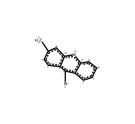 Cc1ccc2c(Br)c3ccccc3nc2c1